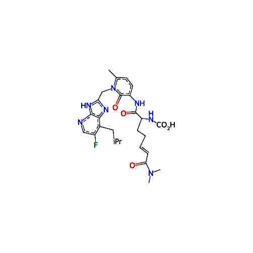 Cc1ccc(NC(=O)C(CC/C=C/C(=O)N(C)C)NC(=O)O)c(=O)n1Cc1nc2c(CC(C)C)c(F)cnc2[nH]1